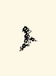 COc1nc2ccccc2cc1-c1ccc(C2(C(=O)N[C@@H]3CCN(C)C3)CCN(c3ccc(C(F)(F)F)cc3C#N)CC2)cn1